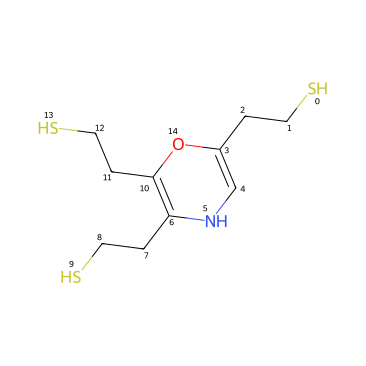 SCCC1=CNC(CCS)=C(CCS)O1